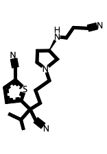 CC(C)C(C#N)(CCCN1CC[C@@H](NCCC#N)C1)c1ccc(C#N)s1